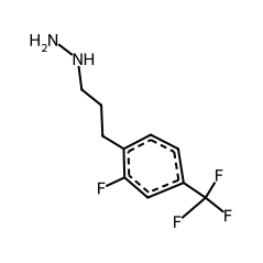 NNCCCc1ccc(C(F)(F)F)cc1F